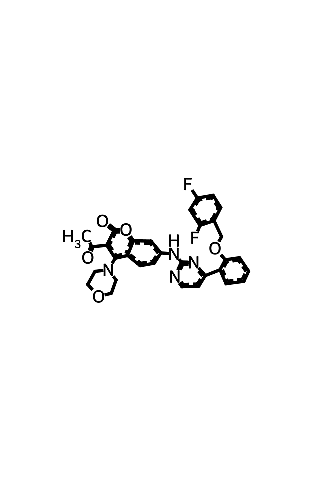 CC(=O)c1c(N2CCOCC2)c2ccc(Nc3nccc(-c4ccccc4OCc4ccc(F)cc4F)n3)cc2oc1=O